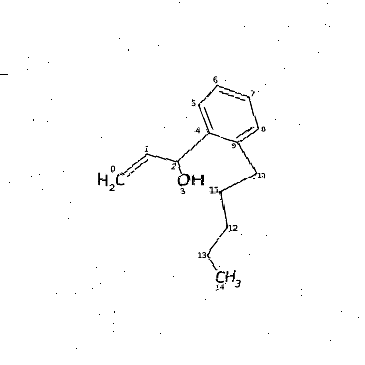 C=CC(O)c1ccccc1CCCCC